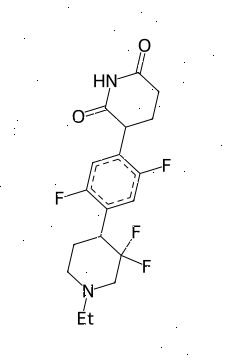 CCN1CCC(c2cc(F)c(C3CCC(=O)NC3=O)cc2F)C(F)(F)C1